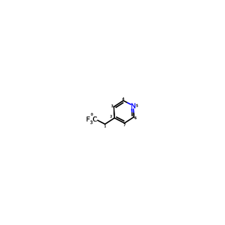 FC(F)(F)Cc1[c]cncc1